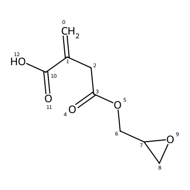 C=C(CC(=O)OCC1CO1)C(=O)O